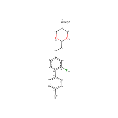 CCCCCCCC1COC(CCc2ccc(-c3ccc(CC)cc3)c(F)c2)OC1